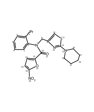 CC(C)c1ccccc1N(Cc1csc(N2CCCCC2)n1)C(=O)c1ccc([N+](=O)[O-])o1